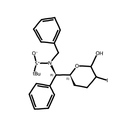 CC(C)(C)[S+]([O-])N(Cc1ccccc1)[C@H](c1ccccc1)[C@@H]1CCC(I)C(O)O1